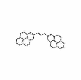 [CH](C=Cc1cc2ccc3cccc4ccc(c1)c2c34)c1cc2ccc3cccc4ccc(c1)c2c34